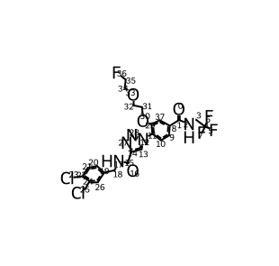 O=C(NCC(F)(F)F)c1ccc(-n2cc(C(=O)NCc3ccc(Cl)c(Cl)c3)nn2)c(OCCOCCF)c1